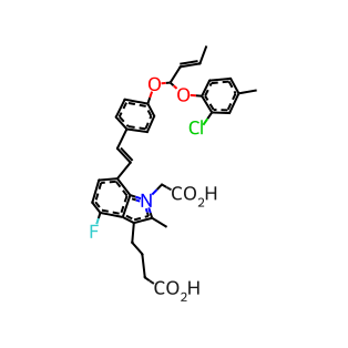 C/C=C/C(Oc1ccc(/C=C/c2ccc(F)c3c(CCCC(=O)O)c(C)n(CC(=O)O)c23)cc1)Oc1ccc(C)cc1Cl